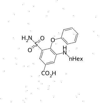 CCCCCCNc1cc(C(=O)O)cc(S(N)(=O)=O)c1Oc1ccccc1